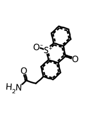 NC(=O)Cc1ccc2c(=O)c3ccccc3[s+]([O-])c2c1